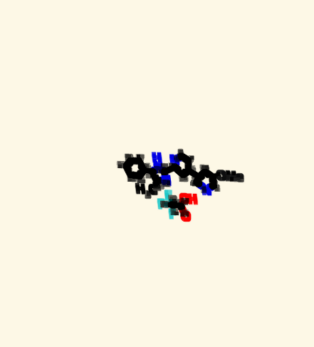 COc1cncc(-c2ccnc(-c3nc(C)c(-c4ccccc4)[nH]3)c2)c1.O=C(O)C(F)(F)F